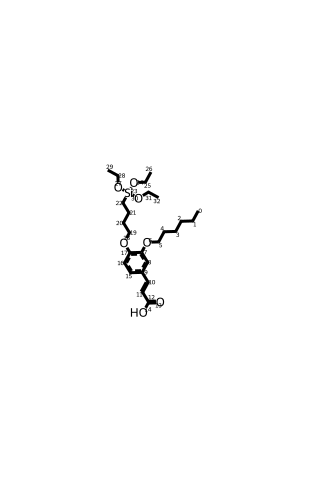 CCCCCCOc1cc(/C=C/C(=O)O)ccc1OCCCC[Si](OCC)(OCC)OCC